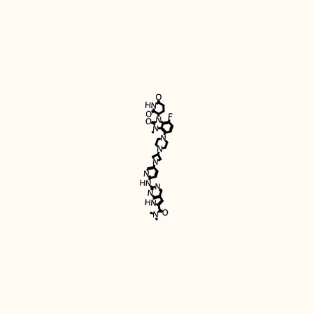 CN(C)C(=O)c1cc2cnc(Nc3ccc(N4CC(N5CCN(c6ccc(F)c7c6n(C)c(=O)n7C6CCC(=O)NC6=O)CC5)C4)cn3)nc2[nH]1